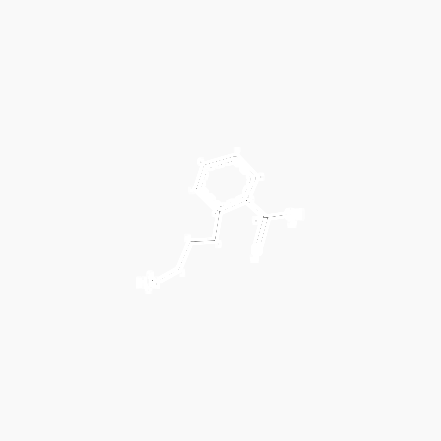 NCCCc1ccccc1C(=O)O